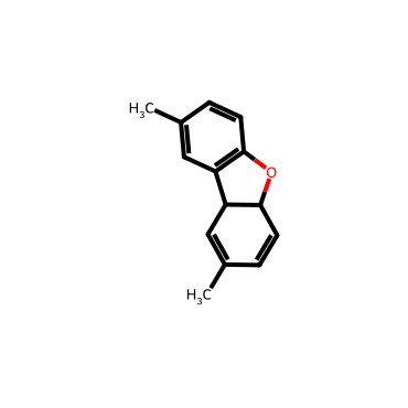 CC1=CC2c3cc(C)ccc3OC2C=C1